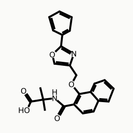 CC(C)(NC(=O)c1ccc2ccccc2c1OCc1coc(-c2ccccc2)n1)C(=O)O